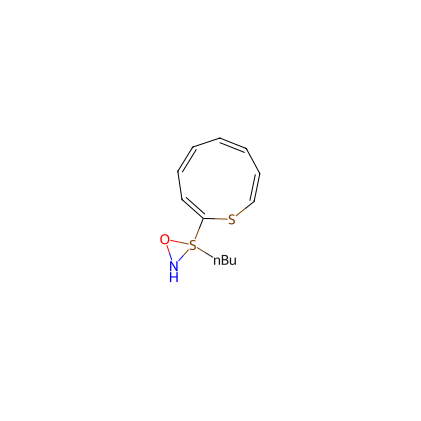 CCCCS1(c2cccccccs2)NO1